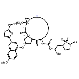 COc1ccc2c(O[C@@H]3C[C@H]4C(=O)N[C@]5(C(=O)O)CC5/C=C\CCCCC[C@H](NC(=O)OC(CN5CCN(C(C)C)S5(=O)=O)C(C)(C)C)C(=O)N4C3)cc(-c3csc(NC(C)C)n3)nc2c1